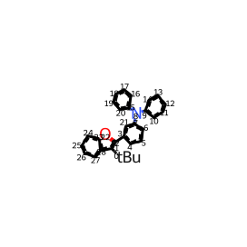 CC(C)(C)c1c(-c2cccc(N(c3ccccc3)c3ccccc3)c2)oc2ccccc12